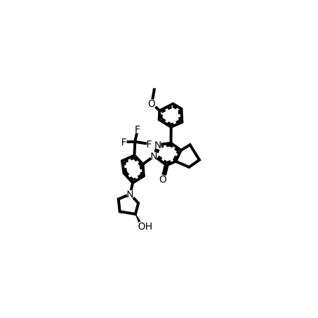 COc1cccc(-c2nn(-c3cc(N4CC[C@H](O)C4)ccc3C(F)(F)F)c(=O)c3c2CCC3)c1